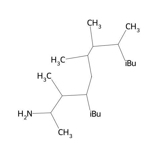 CCC(C)C(C)C(C)C(C)CC(C(C)CC)C(C)C(C)N